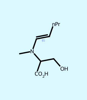 CCC/C=C/N(C)C(CO)C(=O)O